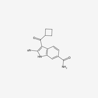 CCCc1[nH]c2cc(C(N)=O)ccc2c1C(=O)C1CCC1